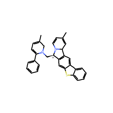 CC1=CC2c3cc4c(cc3[C@@H](CN3CC(C)=CC=C3c3ccccc3)N2C=C1)sc1ccccc14